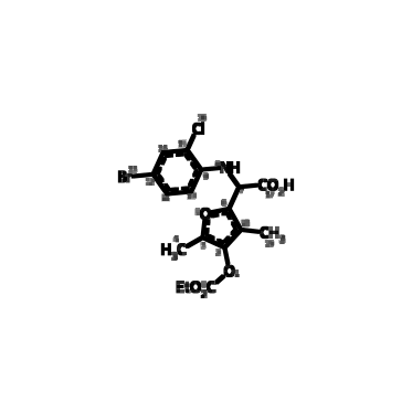 CCOC(=O)Oc1c(C)oc(C(Nc2ccc(Br)cc2Cl)C(=O)O)c1C